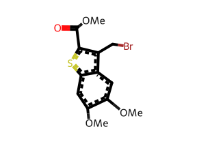 COC(=O)c1sc2cc(OC)c(OC)cc2c1CBr